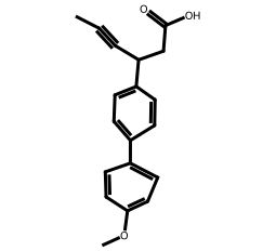 CC#CC(CC(=O)O)c1ccc(-c2ccc(OC)cc2)cc1